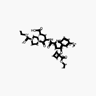 CCOC(=O)N1CCN(C(=O)C(CCC(=O)O)NC(=O)c2cc(OC3(C(=O)OCC)CCC3)c3cc(SC)ccc3n2)CC1